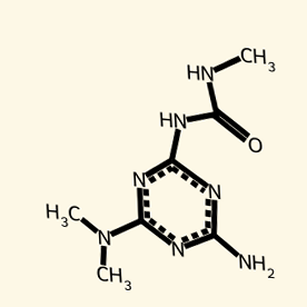 CNC(=O)Nc1nc(N)nc(N(C)C)n1